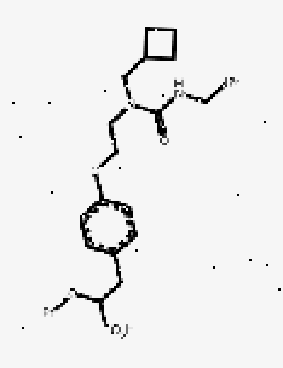 CCOC(Cc1ccc(OCCN(CC2CCC2)C(=O)NCC(C)C)cc1)C(=O)O